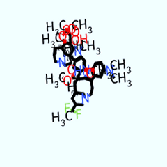 CC[C@]12C=CCN3CC[C@@]4(c5cc([C@@]6(C(=O)OC)C[C@H]7CC(C(C)(F)F)CN(CCc8c6[nH]c6ccc(N(C)C)cc86)C7)c(OC)cc5N(C)[C@H]4[C@@](O)(C(=O)OC)[C@@H]1OC(C)=O)[C@@H]32